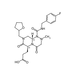 CN1CC(=O)N2[C@@H](CCC(=O)O)C(=O)N(CC3CCCO3)C[C@@H]2N1C(=O)NCc1ccc(F)cc1